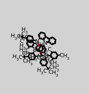 Cc1cc(C)c(B2c3cc(C(C)(C)C)ccc3N3c4ccc(C(C)(C)C)cc4B(c4c(C)cc(C)cc4C)c4cc(-n5c6ccccc6c6cccc(N(c7ccc(C(C)(C)C)cc7)c7ccc(C(C)(C)C)cc7)c65)cc2c43)c(C)c1